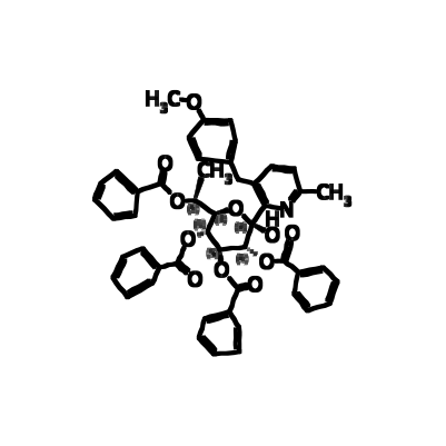 COc1ccc(Cc2ccc(C)nc2[C@@]2(O)O[C@H]([C@H](C)OC(=O)c3ccccc3)[C@@H](OC(=O)c3ccccc3)[C@H](OC(=O)c3ccccc3)[C@H]2OC(=O)c2ccccc2)cc1